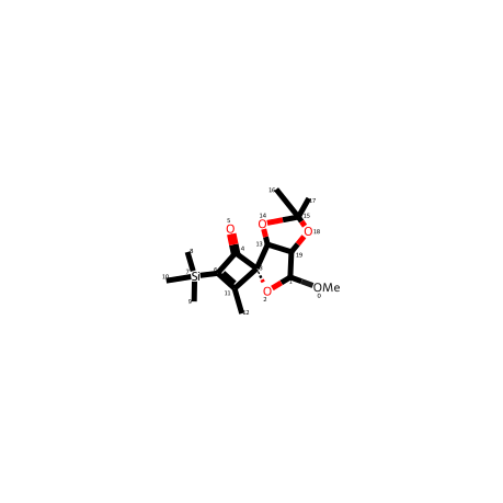 COC1O[C@]2(C(=O)C([Si](C)(C)C)=C2C)C2OC(C)(C)OC12